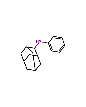 c1ccc(PC2C3CC4CC(C3)CC2C4)cc1